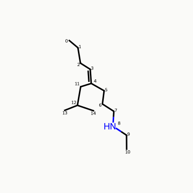 CCC/C=C(/CCCNCC)CC(C)C